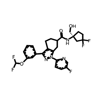 O=C(N[C@@]1(CO)CCC(F)(F)C1)C1CCc2c(-c3cccc(OC(F)F)c3)nn(-c3ccc(F)cn3)c2C1